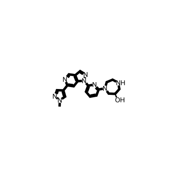 Cn1cc(-c2cc3c(cn2)cnn3-c2cccc(N3CCNC[C@@H](O)C3)n2)cn1